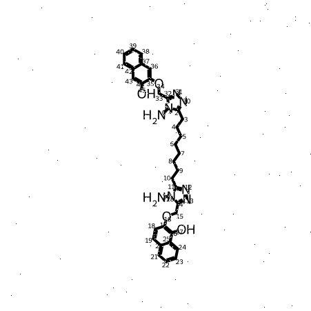 Nn1c(CCCCCCCCc2nnc(COc3ccc4ccccc4c3O)n2N)nnc1COc1cc2ccccc2cc1O